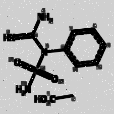 CC(=O)O.N=C(N)N(c1ccccc1)S(N)(=O)=O